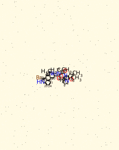 CC(C)C[C@H]1C(=O)N2CCC[C@H]2[C@]2(C)O[C@](NC(=O)[C@@H]3C=C4c5cccc6[nH]c(Br)c(c56)C[C@H]4N(C)C3)(C(C)C)C(=O)N12